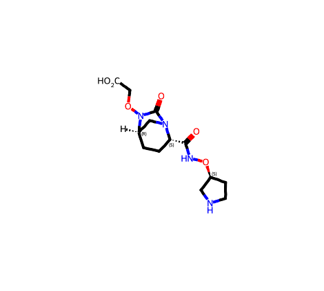 O=C(O)CON1C(=O)N2C[C@H]1CC[C@H]2C(=O)NO[C@H]1CCNC1